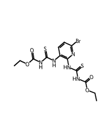 CCOC(=O)NC(=S)Nc1ccc(Br)nc1NC(=S)NC(=O)OCC